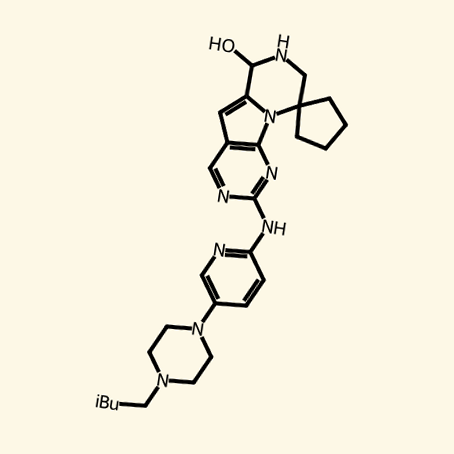 CCC(C)CN1CCN(c2ccc(Nc3ncc4cc5n(c4n3)C3(CCCC3)CNC5O)nc2)CC1